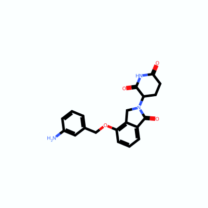 Nc1cccc(COc2cccc3c2CN(C2CCC(=O)NC2=O)C3=O)c1